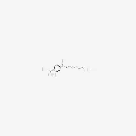 CCCCCCCCCCCCCCCCNc1ccc(C(C)O)cc1